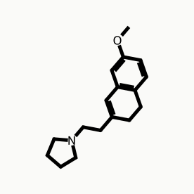 COc1ccc2c(c1)C=C(CCN1CCCC1)CC2